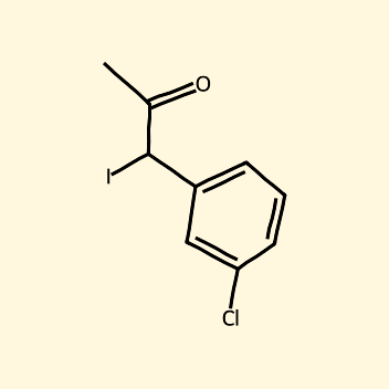 CC(=O)C(I)c1cccc(Cl)c1